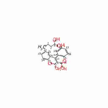 CCCC(O)O.O=C(O)C(C(=O)O)=C(c1ccccc1)c1ccccc1